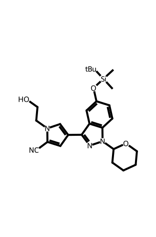 CC(C)(C)[Si](C)(C)Oc1ccc2c(c1)c(-c1cc(C#N)n(CCO)c1)nn2C1CCCCO1